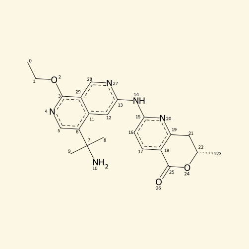 CCOc1ncc(C(C)(C)N)c2cc(Nc3ccc4c(n3)C[C@H](C)OC4=O)ncc12